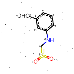 O=[C]c1cccc(NC[SH](=O)=O)c1